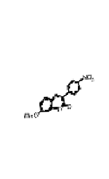 COc1ccc2cc(-c3ccc([N+](=O)[O-])cc3)c(=O)oc2c1